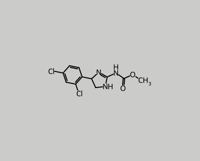 COC(=O)NC1=NC(c2ccc(Cl)cc2Cl)CN1